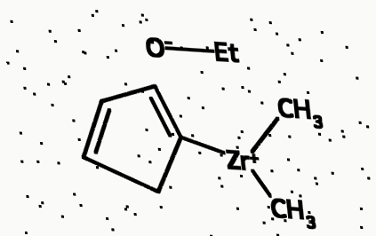 CC[O-].[CH3][Zr+]([CH3])[C]1=CC=CC1